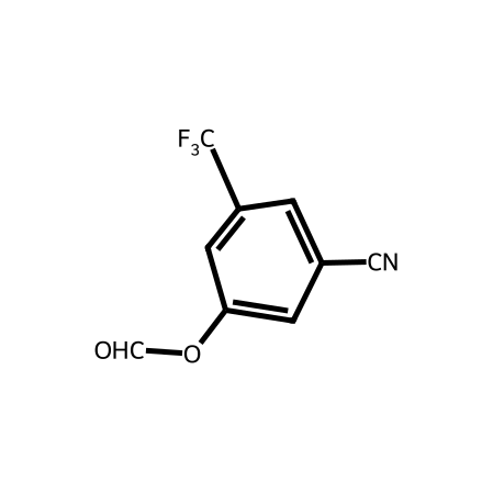 N#Cc1cc(OC=O)cc(C(F)(F)F)c1